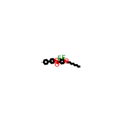 CCCCCCCCOc1ccc(C(=O)Oc2ccc(C3CC[CH]CC3)cc2)c(F)c1F